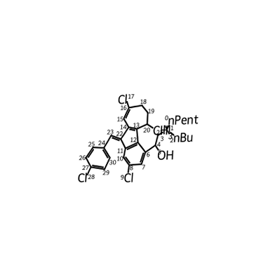 CCCCCN(CCCC)CC(O)c1cc(Cl)cc2c1C1=C(C=C(Cl)CCC1C)/C2=C/c1ccc(Cl)cc1